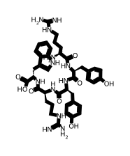 N=C(N)NCCC[C@H](NC(=O)[C@H](Cc1ccc(O)cc1)NC(=O)[C@H](Cc1ccc(O)cc1)NC(=O)[C@@H](N)CCCNC(=N)N)C(=O)N[C@@H](Cc1c[nH]c2ccccc12)C(=O)O